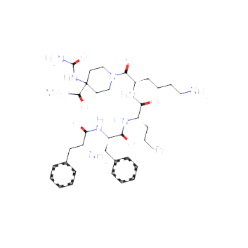 COC(=O)C1(NC(N)=O)CCN(C(=O)[C@@H](CCCCN)NC(=O)[C@@H](CCC(C)C)NC(=O)[C@@H](Cc2ccccc2)NC(=O)[C@H](N)Cc2ccccc2)CC1